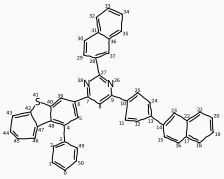 c1ccc(-c2cc(-c3cc(-c4ccc(-c5ccc6ccccc6c5)cc4)nc(-c4ccc5ccccc5c4)n3)cc3sc4ccccc4c23)cc1